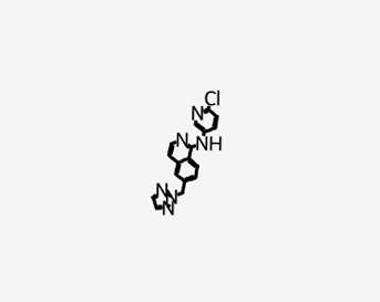 Clc1ccc(Nc2nccc3cc(Cn4nccn4)ccc23)cn1